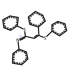 C(=C(Sc1ccccc1)c1ccccc1)/C(=N\c1ccccc1)Sc1ccccc1